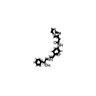 Cl.O=C(Cc1cn2ccsc2n1)Nc1ccc(CCNCC(O)c2ccccc2)cc1